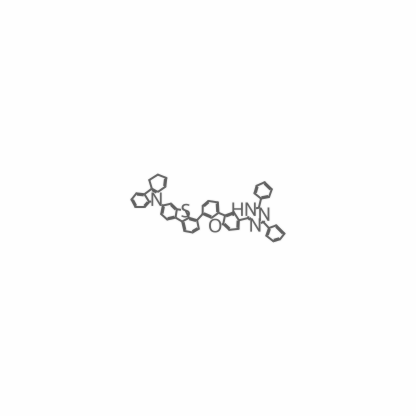 C1=Cc2c(c3ccccc3n2-c2ccc3c(c2)sc2c(-c4cccc5c4oc4ccc(C6=NC(c7ccccc7)=NC(c7ccccc7)N6)cc45)cccc23)CC1